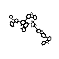 c1ccc(-c2nc(-c3ccc4c(c3)oc3cc(-c5cccc6sc7ccccc7c56)ccc34)nc(-c3cccc4oc5ccc(-c6cc(-c7ccc8c(c7)c7ccccc7n8-c7ccccc7)c7sc8ccccc8c7c6)cc5c34)n2)cc1